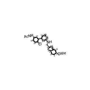 COc1ccc2sc(CNc3nncc(-c4cc(NC(C)=O)ccc4Cl)n3)nc2c1